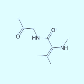 CNC(C(=O)NCC(C)=O)=C(C)C